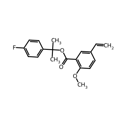 C=Cc1ccc(OC)c(C(=O)OC(C)(C)c2ccc(F)cc2)c1